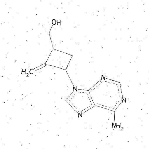 C=C1C(CO)CC1n1cnc2c(N)ncnc21